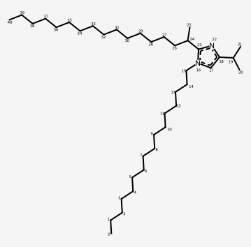 CCCCCCCCCCCCCCCCn1cc(C(C)C)nc1C(C)CCCCCCCCCCCCCCC